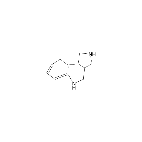 C1=CCC2C(=C1)NCC1CNCC12